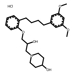 COc1cc(CCCCc2ccccc2OCC(O)CN2CCC(O)CC2)cc(OC)c1.Cl